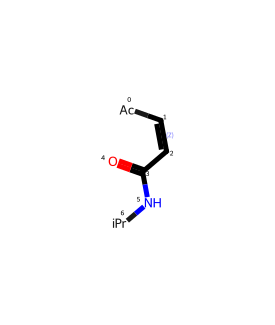 CC(=O)/C=C\C(=O)NC(C)C